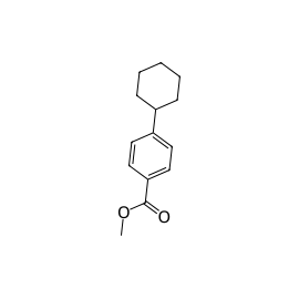 COC(=O)c1ccc(C2CCCCC2)cc1